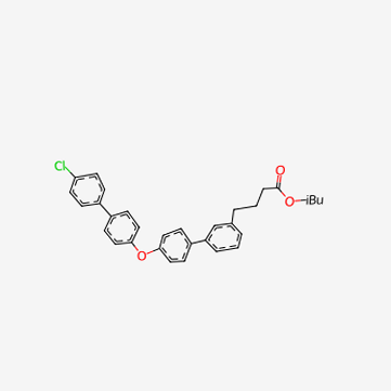 CCC(C)OC(=O)CCCc1cccc(-c2ccc(Oc3ccc(-c4ccc(Cl)cc4)cc3)cc2)c1